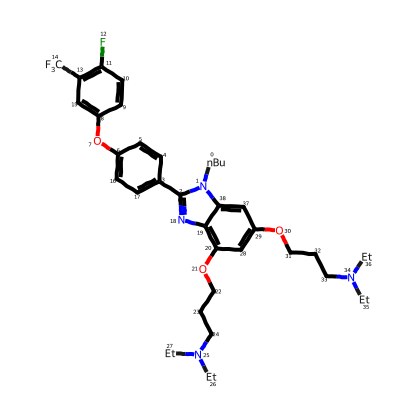 CCCCn1c(-c2ccc(Oc3ccc(F)c(C(F)(F)F)c3)cc2)nc2c(OCCCN(CC)CC)cc(OCCCN(CC)CC)cc21